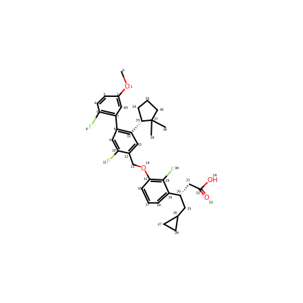 COc1ccc(F)c(-c2cc(F)c(COc3cccc([C@H](CC(=O)O)CC4CC4)c3F)cc2[C@@H]2CCCC2(C)C)c1